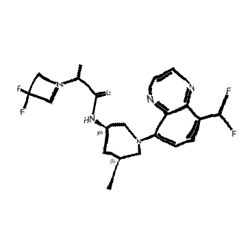 CC(C(=O)N[C@@H]1C[C@H](C)CN(c2ccc(C(F)F)c3nccnc23)C1)N1CC(F)(F)C1